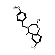 CC[C@@H]1CN(Cc2ccc(OC)cc2)[C@H](C)c2nc(O)ccc2O1